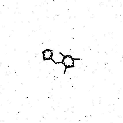 Cc1cc(C)c(Cc2cccs2)c(C)c1